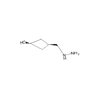 NNC[C@H]1C[C@@H](O)C1